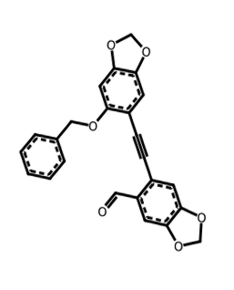 O=Cc1cc2c(cc1C#Cc1cc3c(cc1OCc1ccccc1)OCO3)OCO2